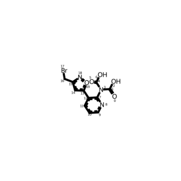 O=C(O)N(C(=O)O)c1ncccc1-c1cc(CBr)no1